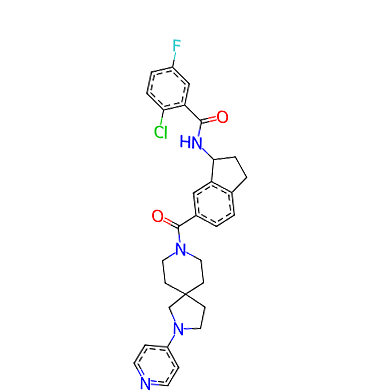 O=C(NC1CCc2ccc(C(=O)N3CCC4(CC3)CCN(c3ccncc3)C4)cc21)c1cc(F)ccc1Cl